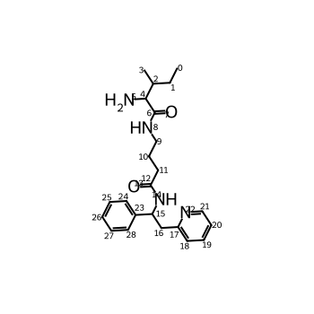 CCC(C)C(N)C(=O)NCCCC(=O)NC(Cc1ccccn1)c1ccccc1